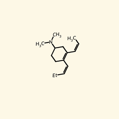 C/C=C\C1=C(/C=C\CC)CCC(N(C)C)C1